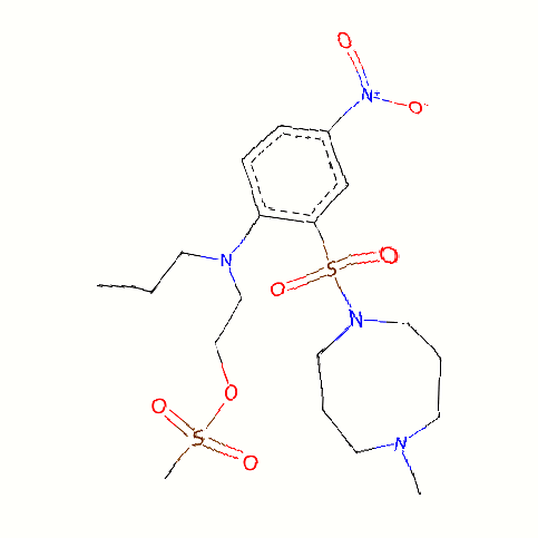 CCCN(CCOS(C)(=O)=O)c1ccc([N+](=O)[O-])cc1S(=O)(=O)N1CCCN(C)CCC1